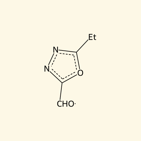 CCc1nnc([C]=O)o1